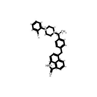 C[C@@H](c1ccc(Cc2ccc3c4c(cccc24)C(=O)N3)cc1)N1CCN(c2ccccc2F)CC1